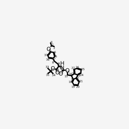 CC(C)Oc1ccc(CCC(NC(=O)OCC2c3ccccc3-c3ccccc32)C(=O)OC(C)(C)C)cc1